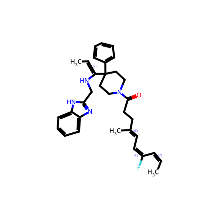 C\C=C/C(F)=C\C=C(/C)CCC(=O)N1CCC(/C(=C/C)NCc2nc3ccccc3[nH]2)(c2ccccc2)CC1